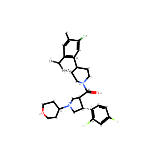 CCC(NC(C)=O)c1cc(C)c(Cl)cc1C1CCN(C(=O)C2CN(C3CCOCC3)C[C@H]2c2ccc(F)cc2F)CC1